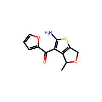 CC1OCc2sc(N)c(C(=O)c3ccco3)c21